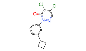 O=c1c(Cl)c(Cl)cnn1-c1cccc(C2CCC2)c1